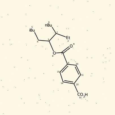 CCCCC(CC)C(CC(C)CC)OC(=O)c1ccc(C(=O)O)cc1